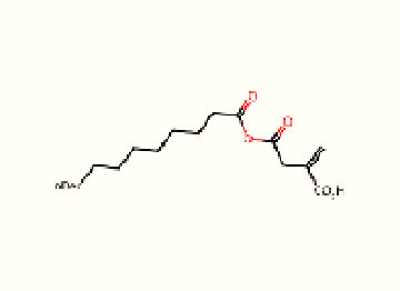 C=C(CC(=O)OC(=O)CCCCCCCCCCCCCCCCC)C(=O)O